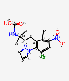 Cc1c([N+](=O)[O-])cc(Br)c(-n2cccn2)c1CCC(C)(C)NC(=O)O